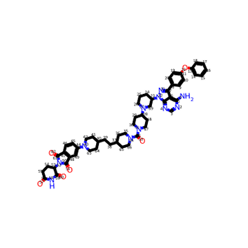 Nc1ncnc2c1c(-c1ccc(Oc3ccccc3)cc1)nn2C1CCCN(C2CCN(C(=O)N3CCC(CCC4CCN(c5ccc6c(c5)C(=O)N(C5CCC(=O)NC5=O)C6=O)CC4)CC3)CC2)C1